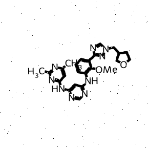 COc1c(Nc2cc(Nc3cc(C)nc(C)n3)ncn2)cccc1-c1ncn(CC2CCOC2)n1